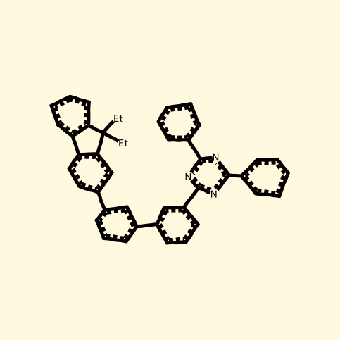 CCC1(CC)c2ccccc2-c2ccc(-c3cccc(-c4cccc(-c5nc(-c6ccccc6)nc(-c6ccccc6)n5)c4)c3)cc21